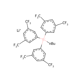 CCCC[B-](c1cc(C(F)(F)F)cc(C(F)(F)F)c1)(c1cc(C(F)(F)F)cc(C(F)(F)F)c1)c1cc(C(F)(F)F)cc(C(F)(F)F)c1.[Li+]